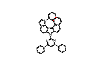 c1ccc(-c2cc(-c3ccccc3)nc(-n3c4ccc5ccccc5c4c4c5c(ccc43)ccn5-c3ccccc3)n2)cc1